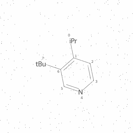 CC(C)c1ccncc1C(C)(C)C